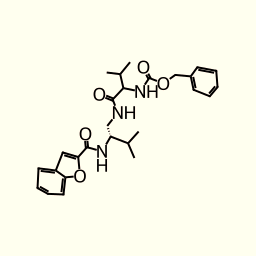 CC(C)C(NC(=O)OCc1ccccc1)C(=O)NC[C@@H](NC(=O)c1cc2ccccc2o1)C(C)C